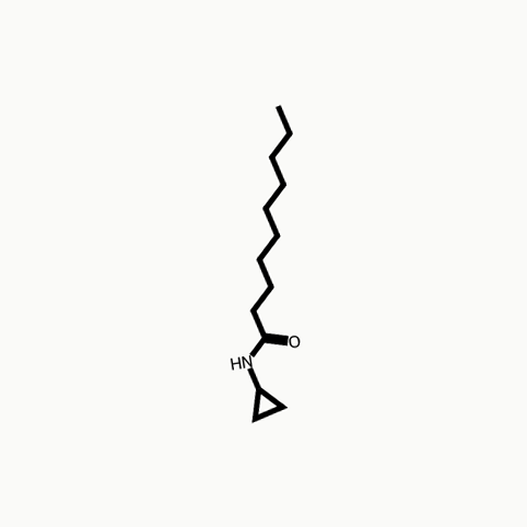 CCCCCCCCCC(=O)NC1CC1